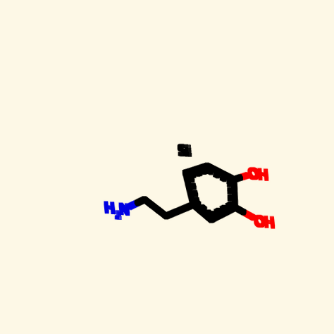 NCCc1ccc(O)c(O)c1.[Si]